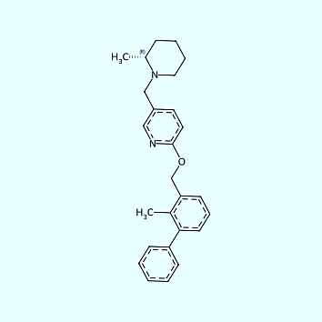 Cc1c(COc2ccc(CN3CCCC[C@H]3C)cn2)cccc1-c1ccccc1